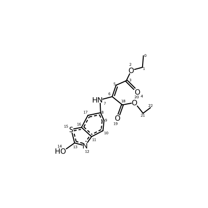 CCOC(=O)C=C(Nc1ccc2nc(O)sc2c1)C(=O)OCC